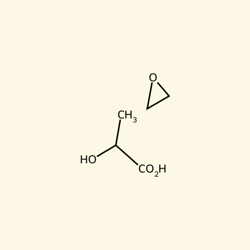 C1CO1.CC(O)C(=O)O